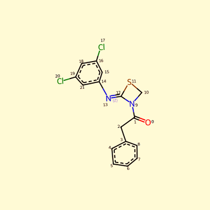 O=C(Cc1ccccc1)N1CS/C1=N\c1cc(Cl)cc(Cl)c1